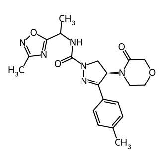 Cc1ccc(C2=NN(C(=O)NC(C)c3nc(C)no3)C[C@H]2N2CCOCC2=O)cc1